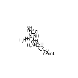 CCCCCC(=O)N1CCC2(CC1)CN(N)/C(=N\C(=O)C1NC(Cl)=C(N=NN)N=C1N=NN)N2